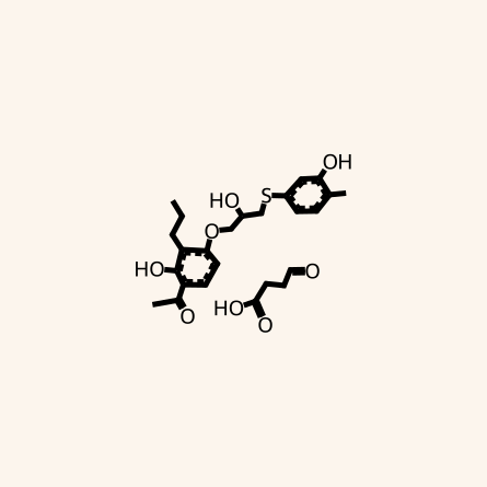 CCCc1c(OCC(O)CSc2ccc(C)c(O)c2)ccc(C(C)=O)c1O.O=CCCC(=O)O